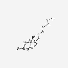 CCCCCCCC(F)(F)c1ccc(Br)cc1